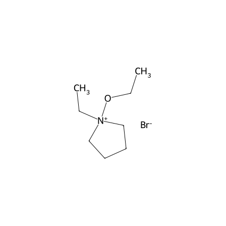 CCO[N+]1(CC)CCCC1.[Br-]